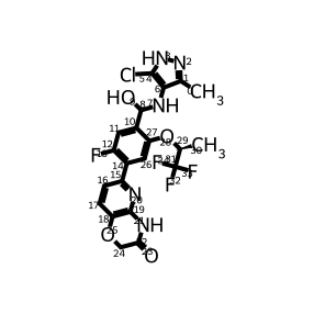 Cc1n[nH]c(Cl)c1NC(O)c1cc(F)c(-c2ccc3c(n2)NC(=O)CO3)cc1O[C@@H](C)C(F)(F)F